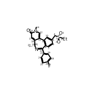 CCS(=O)(=O)Cc1ccc2c(c1)-c1cn(C)c(=O)cc1[C@@H](C)N=C2c1ccc(F)cc1